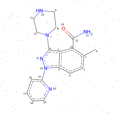 Cc1ccc2c(c(N3CCNCC3)nn2-c2ccccn2)c1C(N)=O